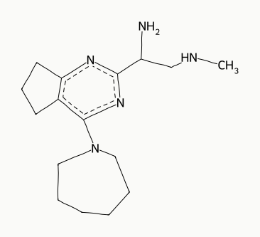 CNCC(N)c1nc2c(c(N3CCCCCC3)n1)CCC2